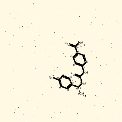 C[C@@H](NC(=S)Nc1ccc(C(N)=O)cc1)c1ccc(Br)cc1